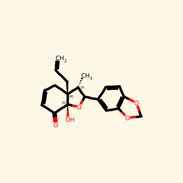 C=CC[C@]12CC=CC(=O)[C@@]1(O)OC(c1ccc3c(c1)OCO3)[C@H]2C